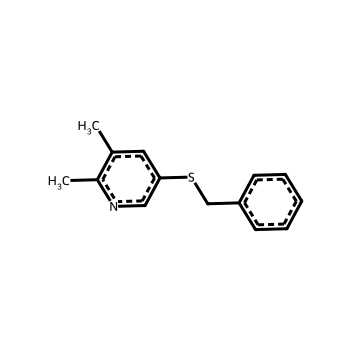 Cc1cc(SCc2ccccc2)cnc1C